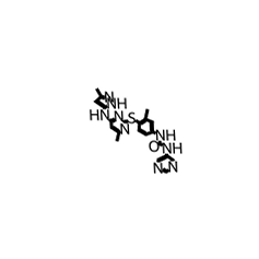 Cc1cc(Nc2cc(C)nc(Sc3ccc(NC(=O)Nc4cncnc4)cc3C)n2)[nH]n1